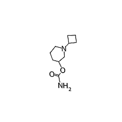 NC(=O)OC1CCCN(C2CCC2)C1